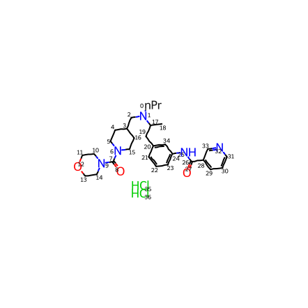 CCCN(CC1CCN(C(=O)N2CCOCC2)CC1)C(C)Cc1cccc(NC(=O)c2cccnc2)c1.Cl.Cl